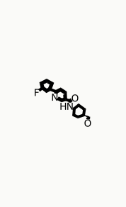 O=C[C@H]1CC[C@H](NC(=O)c2ccc(-c3cccc(F)c3)nc2)CC1